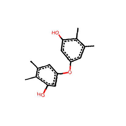 Cc1cc(Oc2cc(C)c(C)c(O)c2)cc(O)c1C